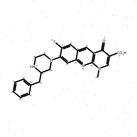 Cn1cc(C(=O)O)c(=O)c2cc3cc(F)c(N4CCNC(Cc5ccccc5)C4)cc3nc21